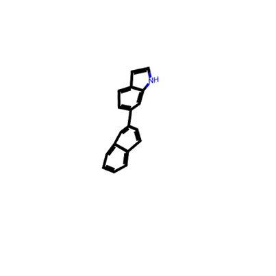 c1ccc2cc(-c3ccc4cc[nH]c4c3)ccc2c1